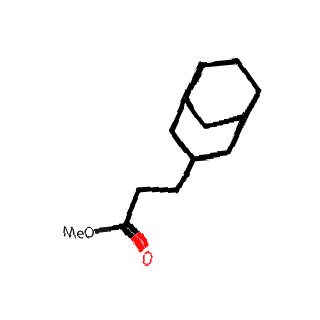 COC(=O)CCC1CC2CCCC(C2)C1